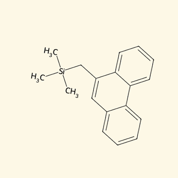 C[Si](C)(C)Cc1cc2ccccc2c2ccccc12